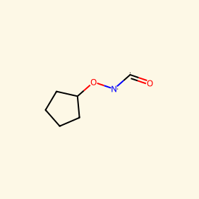 O=[C][N]OC1CCCC1